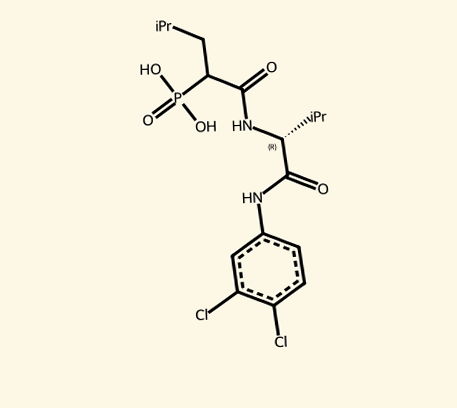 CC(C)CC(C(=O)N[C@@H](C(=O)Nc1ccc(Cl)c(Cl)c1)C(C)C)P(=O)(O)O